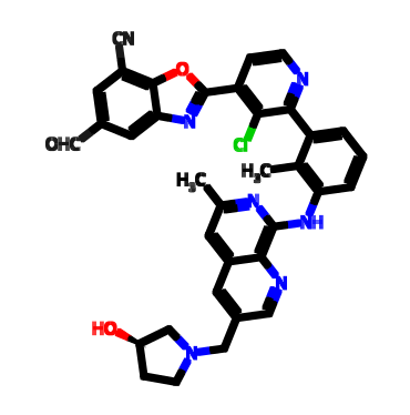 Cc1cc2cc(CN3CC[C@@H](O)C3)cnc2c(Nc2cccc(-c3nccc(-c4nc5cc(C=O)cc(C#N)c5o4)c3Cl)c2C)n1